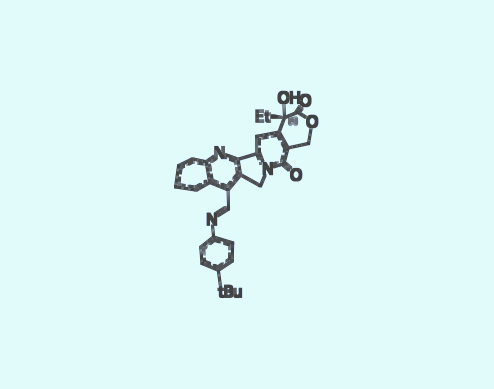 CC[C@@]1(O)C(=O)OCc2c1cc1n(c2=O)Cc2c-1nc1ccccc1c2C=Nc1ccc(C(C)(C)C)cc1